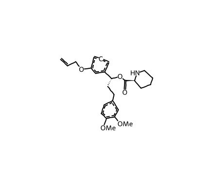 C=CCOc1cccc([C@@H](CCc2ccc(OC)c(OC)c2)OC(=O)[C@@H]2CCCCN2)c1